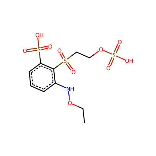 CCONc1cccc(S(=O)(=O)O)c1S(=O)(=O)CCOS(=O)(=O)O